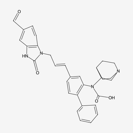 O=Cc1ccc2c(c1)[nH]c(=O)n2CC=Cc1ccc(-c2ccccc2)c(N(C(=O)O)C2CN3CCC2CC3)c1